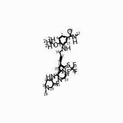 [2H]C([2H])([2H])Oc1ccc(C(=O)NC)cc1NCC#Cc1cc2c(N[C@@H]3CCN(C)C[C@@H]3F)nccn2c1SC(F)(F)F